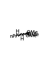 CCCNCCNCCC[Si](OC)(OC)OC